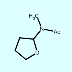 CC(=O)N(C)C1CCCO1